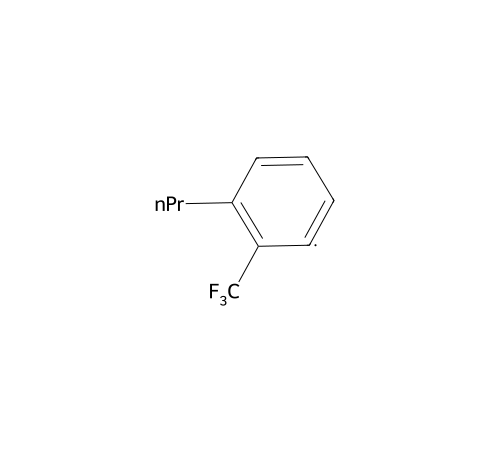 CCCc1ccc[c]c1C(F)(F)F